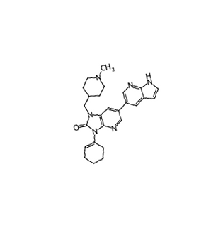 CN1CCC(Cn2c(=O)n(C3=CCCCC3)c3ncc(-c4cnc5[nH]ccc5c4)cc32)CC1